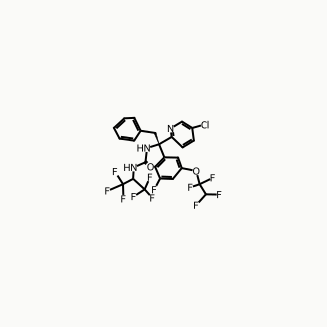 O=C(NC(C(F)(F)F)C(F)(F)F)N[C@@](Cc1ccccc1)(c1cc(F)cc(OC(F)(F)C(F)F)c1)c1ccc(Cl)cn1